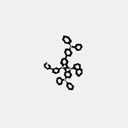 c1ccc(N(c2ccccc2)c2ccc(-c3ccc4c(c3)c3c(c5cc(N(c6ccccc6)c6ccccc6)ccc5n3-c3cccc5ccccc35)n4-c3cccc(-c4cccnc4)c3)cc2)cc1